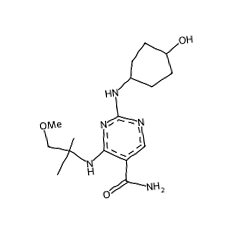 COCC(C)(C)Nc1nc(NC2CCC(O)CC2)ncc1C(N)=O